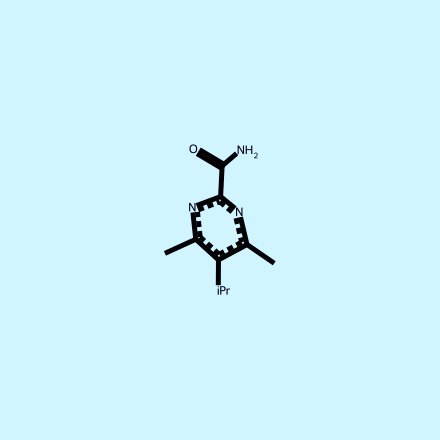 Cc1nc(C(N)=O)nc(C)c1C(C)C